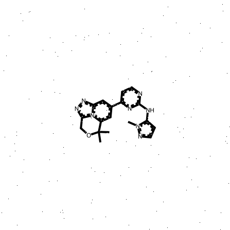 Cn1nccc1Nc1nccc(-c2cc3n4c(nnc4c2)COC3(C)C)n1